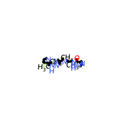 C/C(=C\N=C(/C)c1cnc(NC(C)(C)c2ncccc2F)nc1)CNC(=O)c1cnc[nH]1